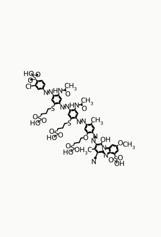 COc1cc(S(=O)(=O)O)c2nc3c(C#N)c(C)c(N=Nc4cc(C)c(N=Nc5cc(NC(C)=O)c(N=Nc6cc(NC(C)=O)c(N=Nc7ccc(S(=O)(=O)O)c(Cl)c7)cc6SCCCS(=O)(=O)O)cc5SCCCS(=O)(=O)O)cc4OCCCS(=O)(=O)O)c(O)n3c2c1